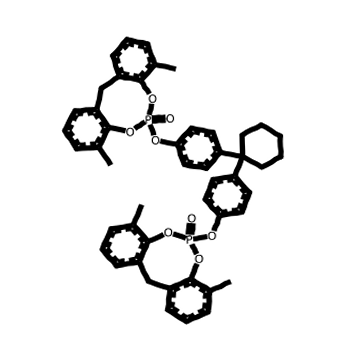 Cc1cccc2c1OP(=O)(Oc1ccc(C3(c4ccc(OP5(=O)Oc6c(C)cccc6Cc6cccc(C)c6O5)cc4)CCCCC3)cc1)Oc1c(C)cccc1C2